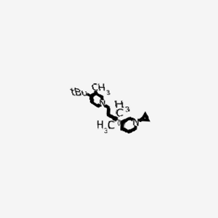 CC1CN(CCC(C)(C)[C@H]2CCCN(C3CC3)C2)CC=C1C(C)(C)C